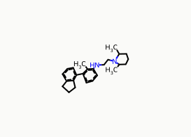 Cc1c(NCCN2C(C)CCCC2C)cccc1-c1cccc2c1CCC2